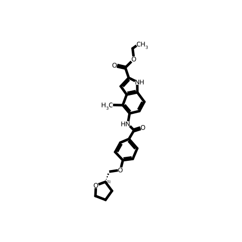 CCOC(=O)c1cc2c(C)c(NC(=O)c3ccc(OC[C@@H]4CCCO4)cc3)ccc2[nH]1